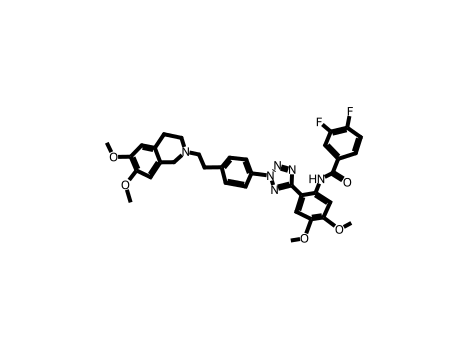 COc1cc2c(cc1OC)CN(CCc1ccc(-n3nnc(-c4cc(OC)c(OC)cc4NC(=O)c4ccc(F)c(F)c4)n3)cc1)CC2